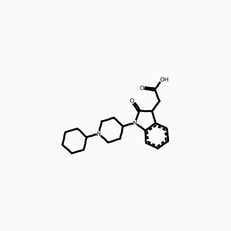 O=C(O)CC1C(=O)N(C2CCN(C3CCCCC3)CC2)c2ccccc21